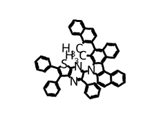 Cc1c(-c2c(C)c3c(c4ccccc24)c2c4ccccc4ccc2n3-c2nc3sc(-c4ccccc4)c(-c4ccccc4)c3nc2-c2ccccc2)ccc2ccccc12